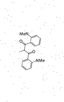 CNc1ccccc1C(=O)[C](C)C(=O)c1ccccc1NC